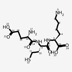 NCCCC[C@H](NC(=O)[C@H](CCS)NC(=O)[C@@H](N)CCC(=O)O)C(=O)O